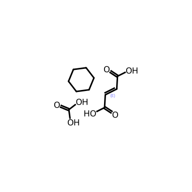 C1CCCCC1.O=C(O)/C=C/C(=O)O.O=C(O)O